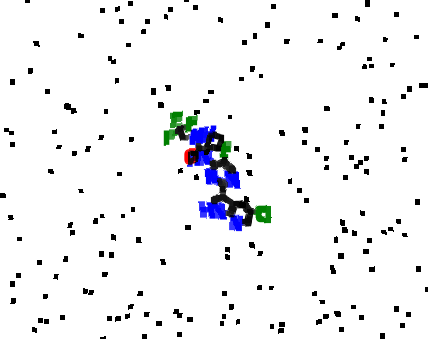 O=C(NCC(F)(F)F)C1(Nc2nc(C3CNc4ncc(Cl)cc43)ncc2F)CCC1